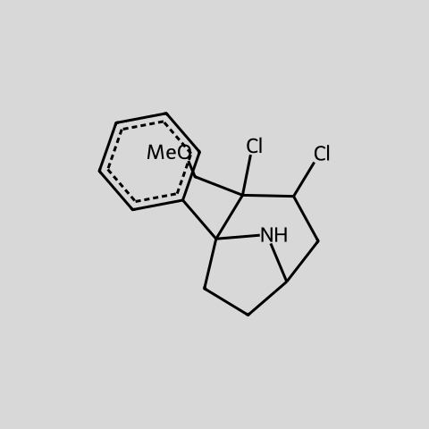 COCC1(Cl)C(Cl)CC2CCC1(c1ccccc1)N2